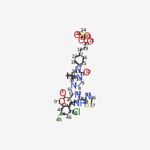 COC(=O)C1=C(CN2CCN3C(=O)N(c4ccc(CCC(=O)OS(C)(=O)=O)cc4)C[C@@H]3C2)N=C(c2nccs2)N[C@H]1c1ccc(F)cc1Cl